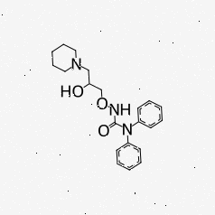 O=C(NOCC(O)CN1CCCCC1)N(c1ccccc1)c1ccccc1